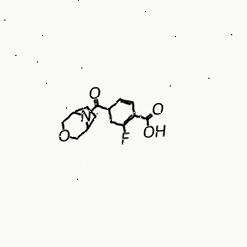 O=C(O)C1=C(F)CC(C(=O)N2C3CCC2COC3)C=C1